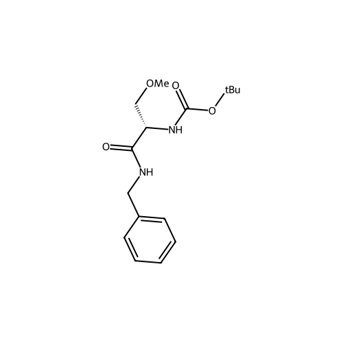 COC[C@H](NC(=O)OC(C)(C)C)C(=O)NCc1ccccc1